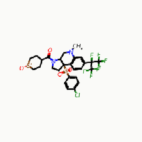 CN1CC2N(C(=O)C3CC[S+]([O-])CC3)CCC2(S(=O)(=O)c2ccc(Cl)cc2)c2ccc(C(F)(C(F)(F)F)C(F)(F)F)cc21